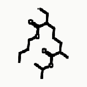 [CH2]CC(CCCC(C)C(=O)OC(C)C)C(=O)OCCCC